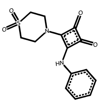 O=c1c(Nc2ccccc2)c(N2CCS(=O)(=O)CC2)c1=O